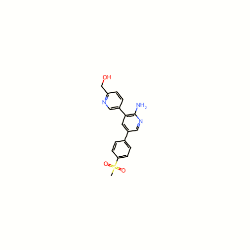 CS(=O)(=O)c1ccc(-c2cnc(N)c(-c3ccc(CO)nc3)c2)cc1